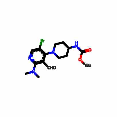 CN(C)c1ncc(Br)c(N2CCC(NC(=O)OC(C)(C)C)CC2)c1C=O